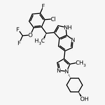 Cc1c(-c2cnc3[nH]cc([C@@H](C)c4c(OC(F)F)ccc(F)c4Cl)c3c2)cnn1[C@H]1CC[C@H](O)CC1